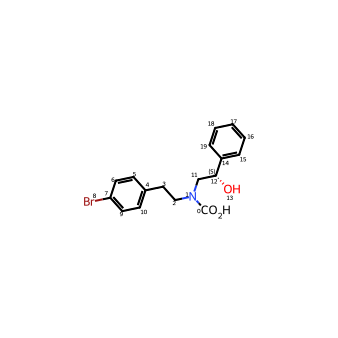 O=C(O)N(CCc1ccc(Br)cc1)C[C@@H](O)c1ccccc1